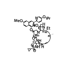 CC[C@@H]1C[C@H](C)CCC=C[C@@H]2C[C@@]2(C(=O)NS(=O)(=O)C2CC2)NC(=O)[C@@H]2C[C@@H](Oc3nc(-c4ccc(OC(C)C)cn4)cc4cc(OC)ccc34)CN2C(=O)[C@H]1NC(=O)O